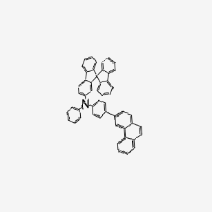 c1ccc(N(c2ccc(-c3ccc4ccc5ccccc5c4c3)cc2)c2ccc3c(c2)C2(c4ccccc4-c4ccccc42)c2ccccc2-3)cc1